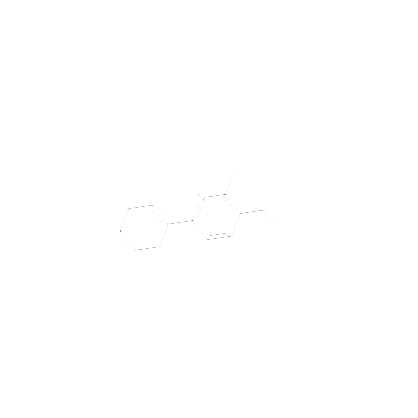 CCc1ccc(C2=CCCCC2)nc1F